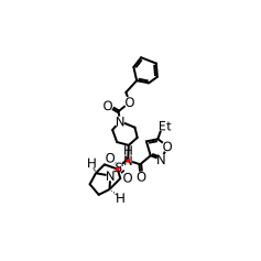 CCc1cc(C(=O)N[C@@H]2C[C@H]3CC[C@@H](C2)N3S(=O)(=O)CC2CCN(C(=O)OCc3ccccc3)CC2)no1